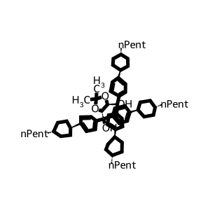 CCCCC[C@H]1CC[C@H](c2ccc(C(O)(c3ccc([C@H]4CC[C@H](CCCCC)CC4)cc3)[C@@H]3OC(C)(C)O[C@H]3C(O)(c3ccc([C@H]4CC[C@H](CCCCC)CC4)cc3)c3ccc([C@H]4CC[C@H](CCCCC)CC4)cc3)cc2)CC1